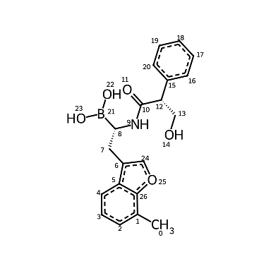 Cc1cccc2c(C[C@@H](NC(=O)[C@@H](CO)c3ccccc3)B(O)O)coc12